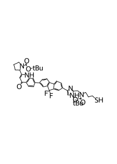 CC(C)(C)OC(=O)N(CCCS)Cc1nc(-c2ccc3c(c2)C(F)(F)c2cc(-c4ccc5c(=O)cc(C6CCCN6C(=O)OC(C)(C)C)[nH]c5c4)ccc2-3)c[nH]1